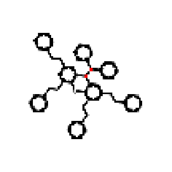 c1ccc(CCc2cc(CCc3ccccc3)c(Oc3c(CCc4ccccc4)cc(CCc4ccccc4)cc3CCc3ccccc3)c(CCc3ccccc3)c2)cc1